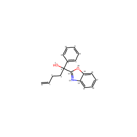 C=CCCC(O)(c1ccccc1)c1nc2ccccc2o1